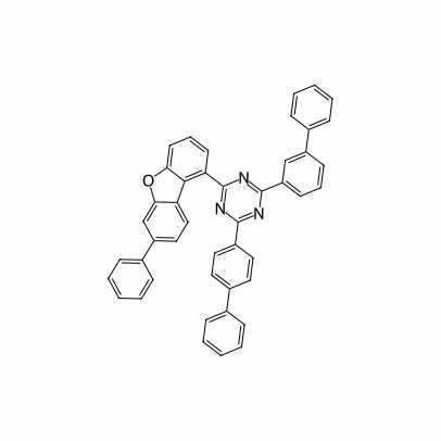 c1ccc(-c2ccc(-c3nc(-c4cccc(-c5ccccc5)c4)nc(-c4cccc5oc6cc(-c7ccccc7)ccc6c45)n3)cc2)cc1